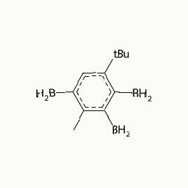 Bc1cc(C(C)(C)C)c(B)c(B)c1C